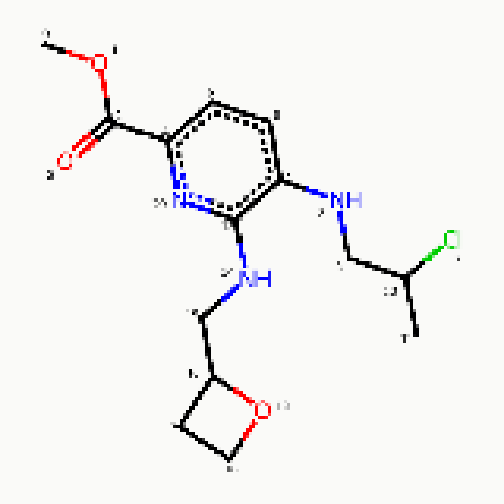 COC(=O)c1ccc(NCC(C)Cl)c(NCC2CCO2)n1